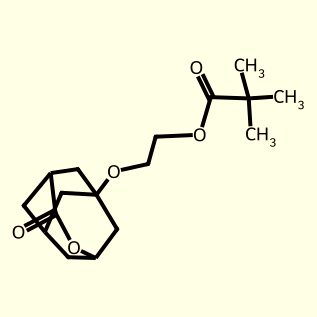 CC(C)(C)C(=O)OCCOC12CC3CC(C1)OC(=O)C(C3)C2